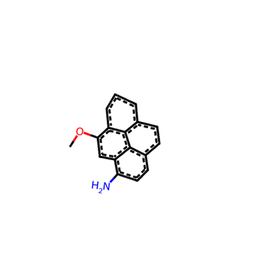 COc1cc2c(N)ccc3ccc4cccc1c4c32